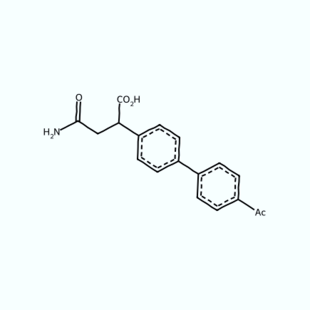 CC(=O)c1ccc(-c2ccc(C(CC(N)=O)C(=O)O)cc2)cc1